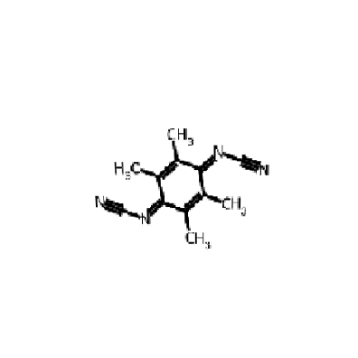 CC1=C(C)C(=NC#N)C(C)=C(C)C1=NC#N